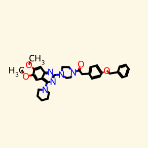 COc1cc2nc(N3CCN(C(=O)Cc4ccc(OCc5ccccc5)cc4)CC3)nc(N3CCCCC3)c2cc1OC